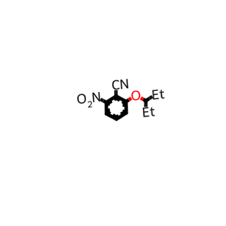 CCC(CC)Oc1cccc([N+](=O)[O-])c1C#N